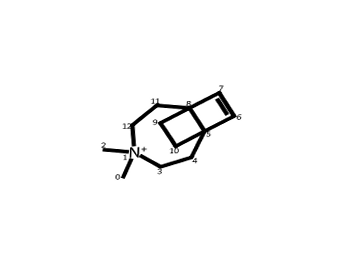 C[N+]1(C)CCC23C=CC2(CC3)CC1